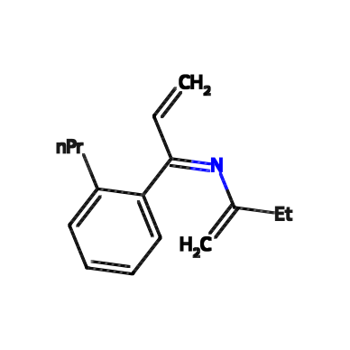 C=C/C(=N/C(=C)CC)c1ccccc1CCC